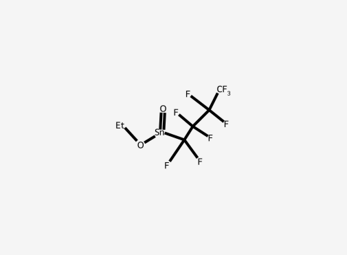 CC[O][Sn](=[O])[C](F)(F)C(F)(F)C(F)(F)C(F)(F)F